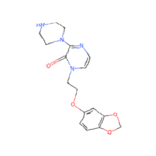 O=c1c(N2CCNCC2)nccn1CCOc1ccc2c(c1)OCO2